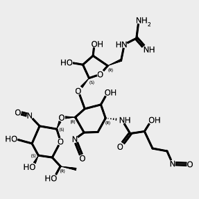 C[C@@H](O)C1O[C@H](O[C@@H]2C(N=O)C[C@@H](NC(=O)C(O)CCN=O)C(O)C2O[C@@H]2O[C@H](CNC(=N)N)C(O)C2O)C(N=O)C(O)[C@@H]1O